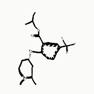 CC(C)OC(=O)c1cc(C(F)(F)F)ccc1O[C@H]1CCN(C)C(C)C1